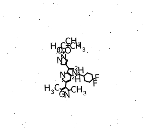 [2H]C([2H])(C1CCC(F)(F)CC1)n1cc(-c2cnn(C(=O)OC(C)(C)C)c2)c2ncc(-c3c(C)noc3C)cc21